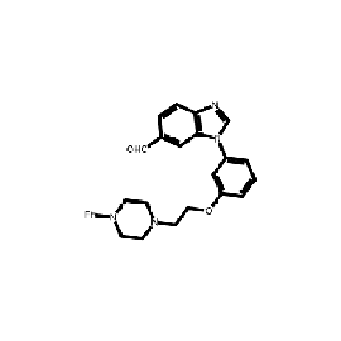 CCN1CCN(CCOc2cccc(-n3cnc4ccc(C=O)cc43)c2)CC1